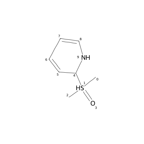 C[SH](C)(=O)C1C=CC=CN1